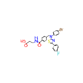 O=C(O)CCNC(=O)c1ccc(CN(c2ccc(Br)cc2)c2nc(-c3ccc(F)cc3)cs2)cc1